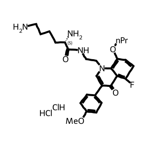 CCCOc1ccc(F)c2c(=O)c(-c3ccc(OC)cc3)cn(CCNC(=O)[C@@H](N)CCCCN)c12.Cl.Cl